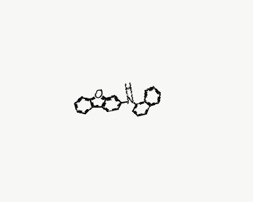 c1ccc2c(Nc3ccc4c(c3)oc3ccccc34)cccc2c1